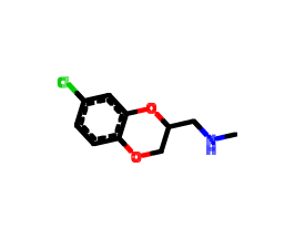 CNCC1COc2ccc(Cl)cc2O1